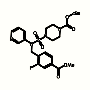 COC(=O)c1ccc(CN(c2cccnc2)S(=O)(=O)N2CCN(C(=O)OC(C)(C)C)CC2)c(F)c1